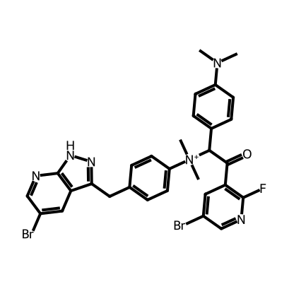 CN(C)c1ccc(C(C(=O)c2cc(Br)cnc2F)[N+](C)(C)c2ccc(Cc3n[nH]c4ncc(Br)cc34)cc2)cc1